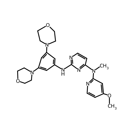 COc1ccnc(N(C)c2ccnc(Nc3cc(N4CCOCC4)cc(N4CCOCC4)c3)n2)c1